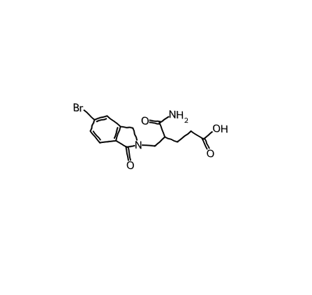 NC(=O)C(CCC(=O)O)CN1Cc2cc(Br)ccc2C1=O